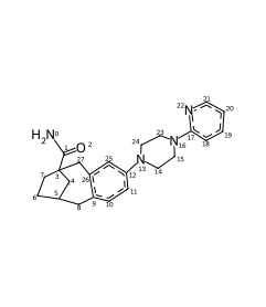 NC(=O)C12[CH]C(CC1)Cc1ccc(N3CCN(c4ccccn4)CC3)cc1C2